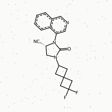 N#C[C@H]1CN(C2CC3(C2)CC(F)(F)C3)C(=O)N1c1cncc2ccccc12